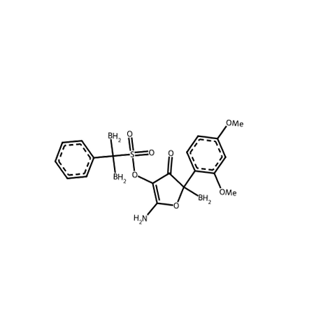 BC1(c2ccc(OC)cc2OC)OC(N)=C(OS(=O)(=O)C(B)(B)c2ccccc2)C1=O